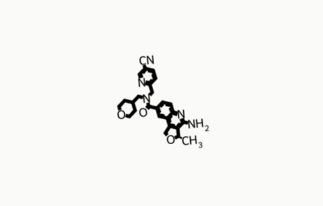 C[C@H]1OCc2c1c(N)nc1ccc(C(=O)N(Cc3ccc(C#N)cn3)CC3CCOCC3)cc21